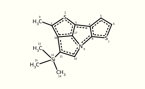 Cc1sc2c3ccsc3n3cc([Si](C)(C)C)c1c23